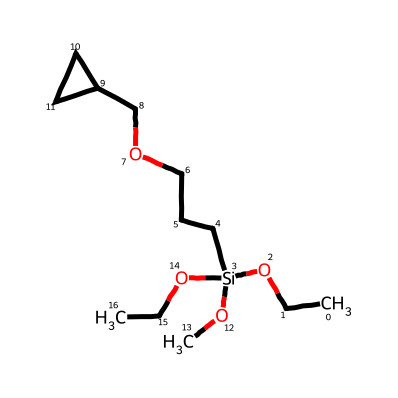 CCO[Si](CCCOCC1CC1)(OC)OCC